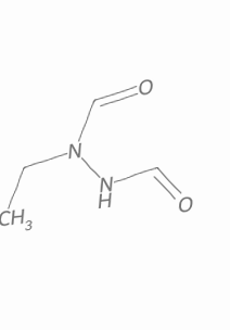 CCN(C=O)NC=O